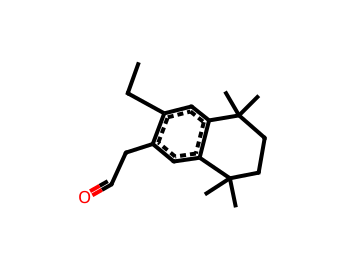 CCc1cc2c(cc1CC=O)C(C)(C)CCC2(C)C